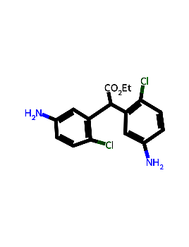 CCOC(=O)C(c1cc(N)ccc1Cl)c1cc(N)ccc1Cl